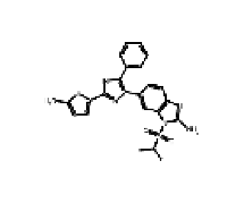 CC(C)S(=O)(=O)n1c(N)nc2ccc(-c3nc(-c4ccc(N)s4)[nH]c3-c3ccccc3)cc21